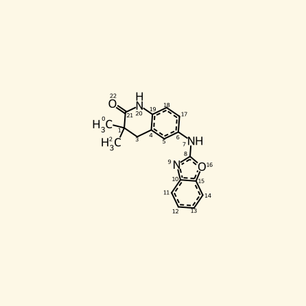 CC1(C)Cc2cc(Nc3nc4ccccc4o3)ccc2NC1=O